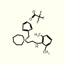 Cc1cccc(C)c1NCC[N+]1(Cc2ccccc2)CCCCCC1.O=C([O-])C(F)(F)F